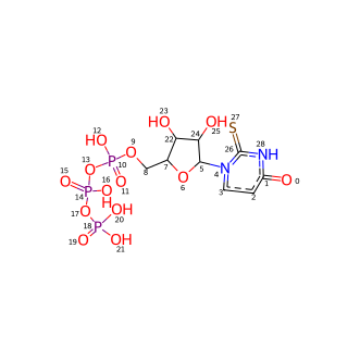 O=c1ccn(C2OC(COP(=O)(O)OP(=O)(O)OP(=O)(O)O)C(O)C2O)c(=S)[nH]1